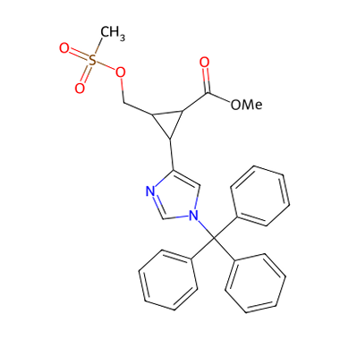 COC(=O)C1C(COS(C)(=O)=O)C1c1cn(C(c2ccccc2)(c2ccccc2)c2ccccc2)cn1